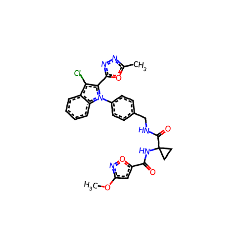 COc1cc(C(=O)NC2(C(=O)NCc3ccc(-n4c(-c5nnc(C)o5)c(Cl)c5ccccc54)cc3)CC2)on1